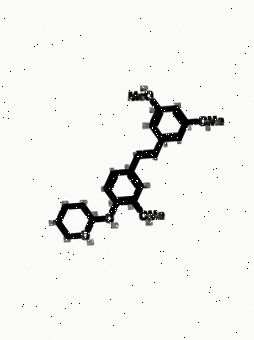 COc1cc(C=Cc2ccc(OC3CCCCO3)c(OC)c2)cc(OC)c1